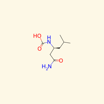 CC(C)C[C@@H](CC(N)=O)NC(=O)O